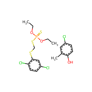 CCOP(=S)(OCC)SCSc1cc(Cl)ccc1Cl.Cc1cc(Cl)ccc1O